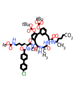 CCOC(=O)CCC(=O)[C@H](C)NC(=O)[C@@H]1Cc2ccc(OC(=O)OC(C)(C)C)c(c2)-c2cc(ccc2OC(=O)OC(C)(C)C)[C@H](N(C)C(=O)[C@H](CCCCNC(=O)OC(C)(C)C)NC(=O)c2ccc(-c3ccc(Cl)cc3)cc2)C(=O)N[C@@H](C)C(=O)N1